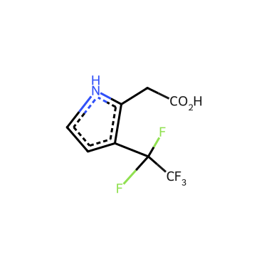 O=C(O)Cc1[nH]ccc1C(F)(F)C(F)(F)F